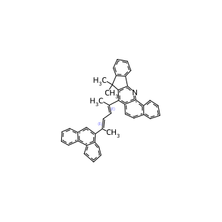 C/C(=C\C=C(/C)c1c2c(nc3c1ccc1ccccc13)-c1ccccc1C2(C)C)c1cc2ccccc2c2ccccc12